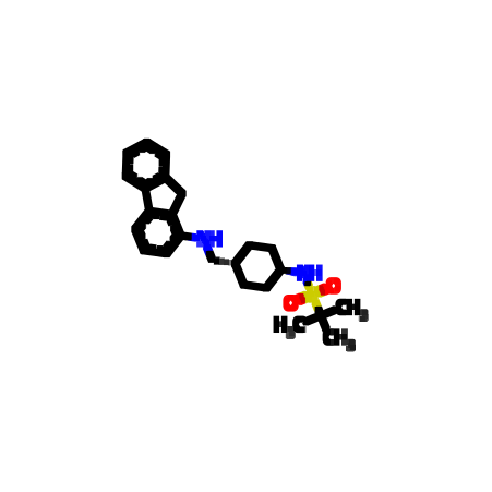 CC(C)(C)S(=O)(=O)N[C@H]1CC[C@H](CNc2cccc3c2Cc2ccccc2-3)CC1